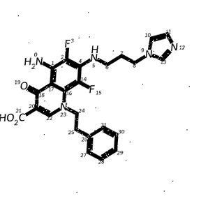 Nc1c(F)c(NCCCn2ccnc2)c(F)c2c1c(=O)c(C(=O)O)cn2CCc1ccccc1